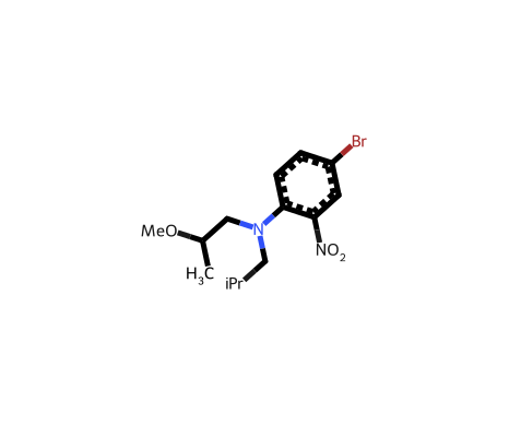 COC(C)CN(CC(C)C)c1ccc(Br)cc1[N+](=O)[O-]